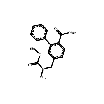 COC(=O)c1ccc(CN(C)C(=O)OC(C)(C)C)cc1-c1ccccc1